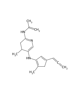 C=C=CC1=CC(NC2=CN=C(NC(=C)C)CC2C)=C(C)C1